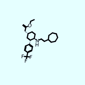 C=C(C[C@@H]1CC[C@@H](NCCC2CCCCCC2)[C@H](c2ccc(C(F)(F)F)cc2)C1)OCC